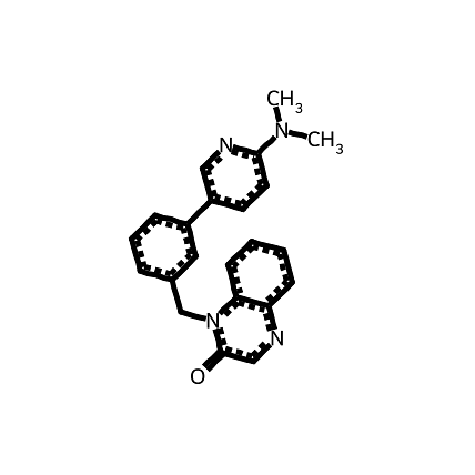 CN(C)c1ccc(-c2cccc(Cn3c(=O)cnc4ccccc43)c2)cn1